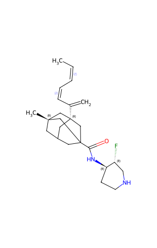 C=C(/C=C\C=C/C)[C@]12CC3CC(C(=O)N[C@@H]4CCNC[C@H]4F)(C[C@](C)(C3)C1)C2